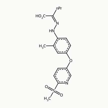 CCCC(=NNc1ccc(Oc2ccc(S(C)(=O)=O)nc2)cc1C)C(=O)O